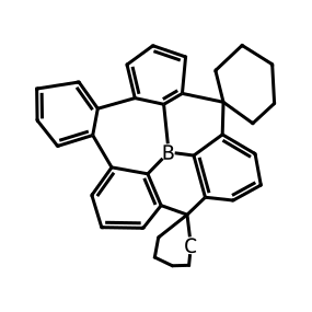 c1ccc2c(c1)-c1cccc3c1B1c4c-2cccc4C2(CCCCC2)c2cccc(c21)C31CCCCC1